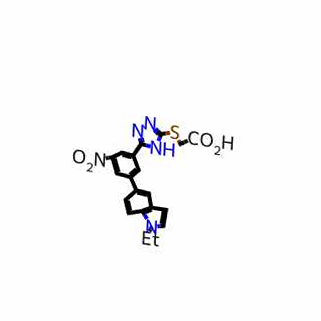 CCn1ccc2cc(-c3cc(-c4nnc(SCC(=O)O)[nH]4)cc([N+](=O)[O-])c3)ccc21